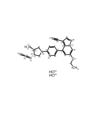 CCOc1cc(-c2ccc(N3C[C@H](N=[N+]=[N-])[C@@H](N)C3)nc2)c2c(C#N)cnn2c1.Cl.Cl